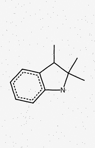 CC1c2ccccc2[N]C1(C)C